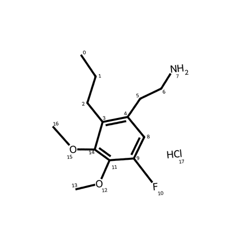 CCCc1c(CCN)cc(F)c(OC)c1OC.Cl